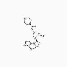 CC[C@@H]1C[C@H](OC(=O)N2CCN(C)CC2)C[C@@H]1c1nnc2cnc3[nH]ccc3n12